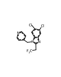 FC(F)(F)Cc1nc2cc(Cl)c(Cl)cc2n1Cc1ccncc1